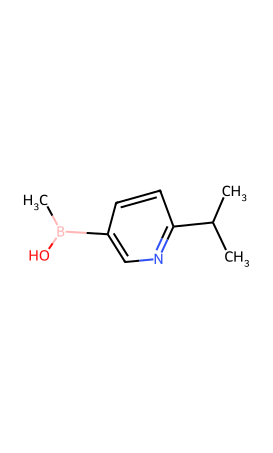 CB(O)c1ccc(C(C)C)nc1